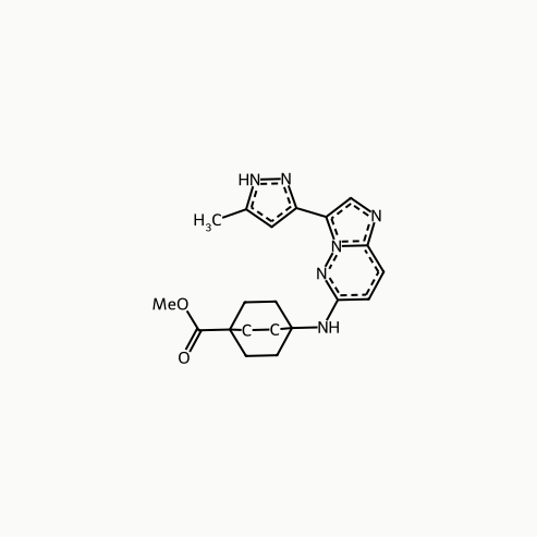 COC(=O)C12CCC(Nc3ccc4ncc(-c5cc(C)[nH]n5)n4n3)(CC1)CC2